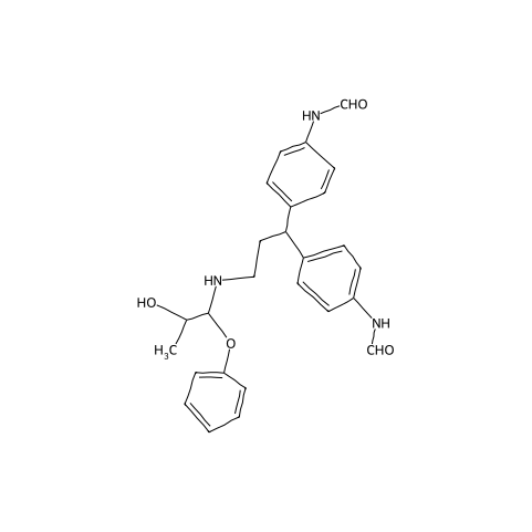 CC(O)C(NCCC(c1ccc(NC=O)cc1)c1ccc(NC=O)cc1)Oc1ccccc1